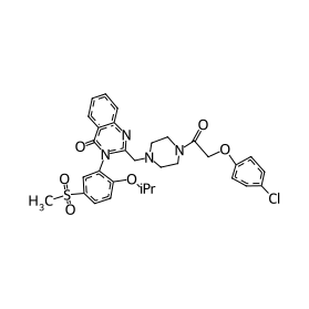 CC(C)Oc1ccc(S(C)(=O)=O)cc1-n1c(CN2CCN(C(=O)COc3ccc(Cl)cc3)CC2)nc2ccccc2c1=O